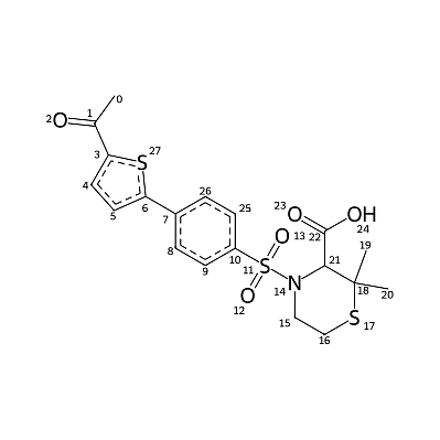 CC(=O)c1ccc(-c2ccc(S(=O)(=O)N3CCSC(C)(C)C3C(=O)O)cc2)s1